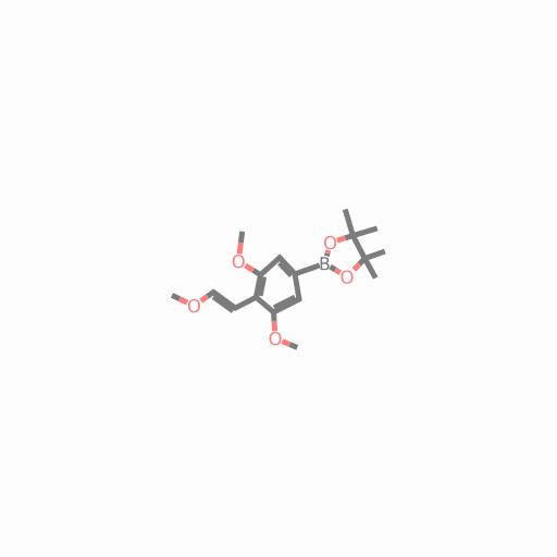 CO/C=C/c1c(OC)cc(B2OC(C)(C)C(C)(C)O2)cc1OC